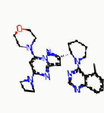 Cc1cccc2ncnc(N3CCCC[C@H]3c3cc4nc(N5CCC5)cc(N5CCOCC5)n4n3)c12